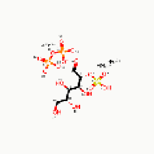 O=C[C@H](OS(=O)(=O)O)[C@@H](O)[C@H](O)[C@H](O)CO.O=P([O-])([O-])OP(=O)([O-])[O-].[Fe+2].[Fe+2].[NaH]